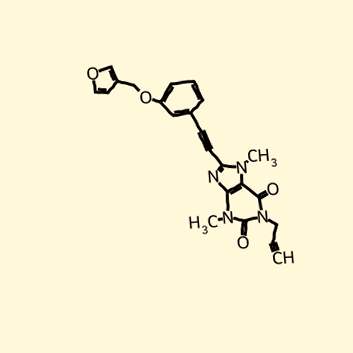 C#CCn1c(=O)c2c(nc(C#Cc3cccc(OCc4ccoc4)c3)n2C)n(C)c1=O